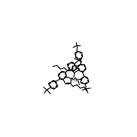 CCCCCC1=Cc2c(-c3ccc(C(C)(C)C)cc3)ccc(-c3ccc(C(C)(C)C)cc3)c2[CH]1[Zr]([CH]1C(CCCCC)=Cc2c(-c3ccc(C(C)(C)C)cc3)ccc(-c3ccc(C(C)(C)C)cc3)c21)[SiH](C)C